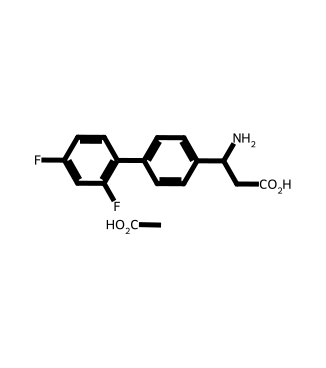 CC(=O)O.NC(CC(=O)O)c1ccc(-c2ccc(F)cc2F)cc1